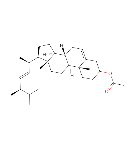 CC(=O)OC1CC[C@@]2(C)C(=CC[C@H]3[C@@H]4CC[C@H]([C@H](C)C=C[C@H](C)C(C)C)[C@@]4(C)CC[C@@H]32)C1